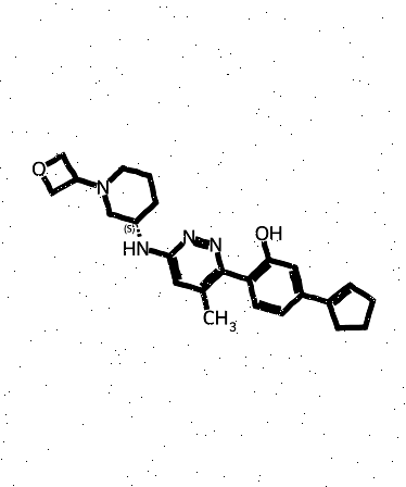 Cc1cc(N[C@H]2CCCN(C3COC3)C2)nnc1-c1ccc(C2=CCCC2)cc1O